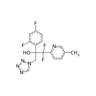 Cc1ccc(C(F)(F)C(O)(Cn2cnnn2)c2ccc(F)cc2F)nc1